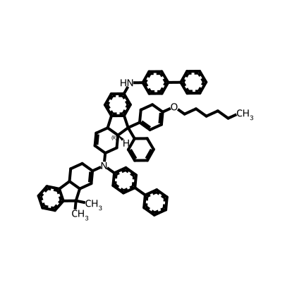 CCCCCCOC1=CC=C(C2(C3C=CC=CC3)c3cc(Nc4ccc(-c5ccccc5)cc4)ccc3C3C=CC(N(C4=CC5C(CC4)c4ccccc4C5(C)C)c4ccc(-c5ccccc5)cc4)C[C@H]32)CC1